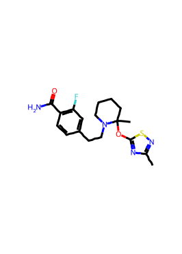 Cc1nsc(OC2(C)CCCCN2CCc2ccc(C(N)=O)c(F)c2)n1